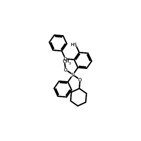 CO[Si](OC1CCCCC1)(c1ccccc1)c1cccc(S)c1Oc1ccccc1